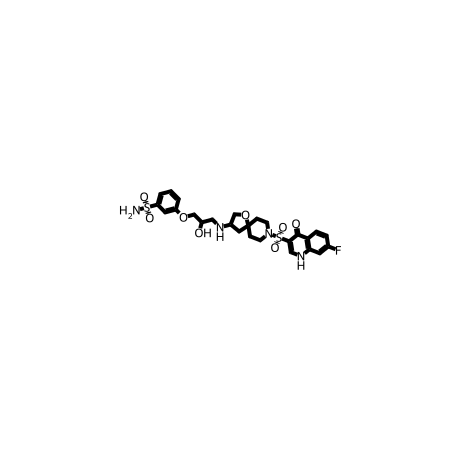 NS(=O)(=O)c1cccc(OCC(O)CNC2COC3(CCN(S(=O)(=O)c4c[nH]c5cc(F)ccc5c4=O)CC3)C2)c1